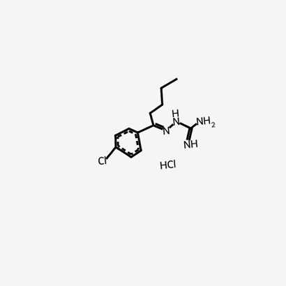 CCCC/C(=N\NC(=N)N)c1ccc(Cl)cc1.Cl